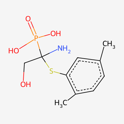 Cc1ccc(C)c(SC(N)(CO)P(=O)(O)O)c1